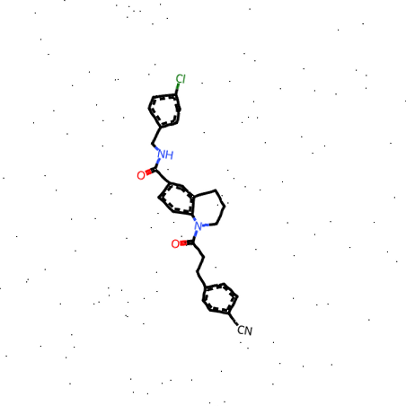 N#Cc1ccc(CCC(=O)N2CCCc3cc(C(=O)NCc4ccc(Cl)cc4)ccc32)cc1